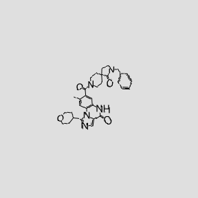 Cc1cc2c(cc1C(=O)N1CCC3(CC1)CCN(Cc1ccccc1)C3=O)[nH]c(=O)c1cnc(C3CCOCC3)n12